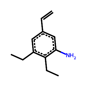 C=Cc1cc(N)c(CC)c(CC)c1